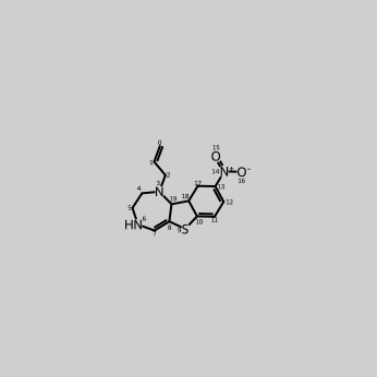 C=CCN1CCNC=C2SC3=CC=C([N+](=O)[O-])CC3C21